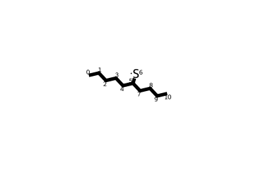 CCCCCC([S])CCCC